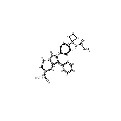 NC(=O)OC1(c2ccc(-c3oc4ncc([N+](=O)[O-])cc4c3-c3ccccc3)cc2)CCC1